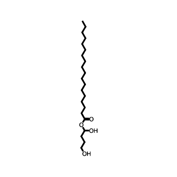 CCCCCCCCCCCCCCCCCC(=O)OC(O)CCCO